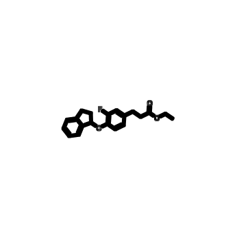 CCOC(=O)CCc1ccc(OC2CCc3ccccc32)c(F)c1